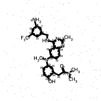 Cc1nc(NCc2cc(N)cc(C(F)(F)F)c2)c2cc(N(C)c3ccc(O)c(CC(=O)N(C)C)c3)ccc2n1